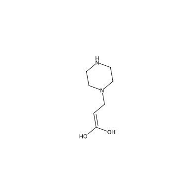 OC(O)=CCN1CCNCC1